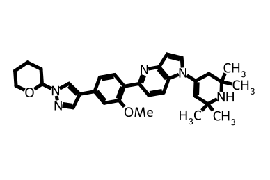 COc1cc(-c2cnn(C3CCCCO3)c2)ccc1-c1ccc2c(ccn2C2=CC(C)(C)NC(C)(C)C2)n1